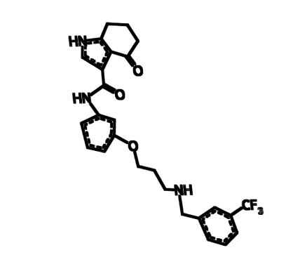 O=C(Nc1cccc(OCCCNCc2cccc(C(F)(F)F)c2)c1)c1c[nH]c2c1C(=O)CCC2